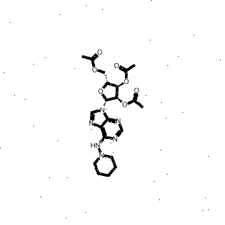 CC(=O)OC[C@H]1O[C@@H](n2cnc3c(NN4CCCCC4)ncnc32)[C@H](OC(C)=O)[C@@H]1OC(C)=O